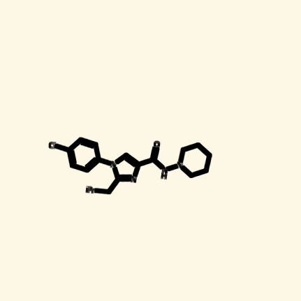 CC(C)Cc1nc(C(=O)NN2CCCCC2)cn1-c1ccc(Cl)cc1